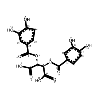 O=C(O[C@@H](C(=O)O)[C@@H](OC(=O)c1ccc(O)c(O)c1)C(=O)O)c1ccc(O)c(O)c1